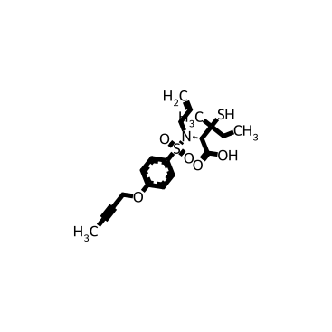 C=CCN([C@@H](C(=O)O)C(C)(S)CC)S(=O)(=O)c1ccc(OCC#CC)cc1